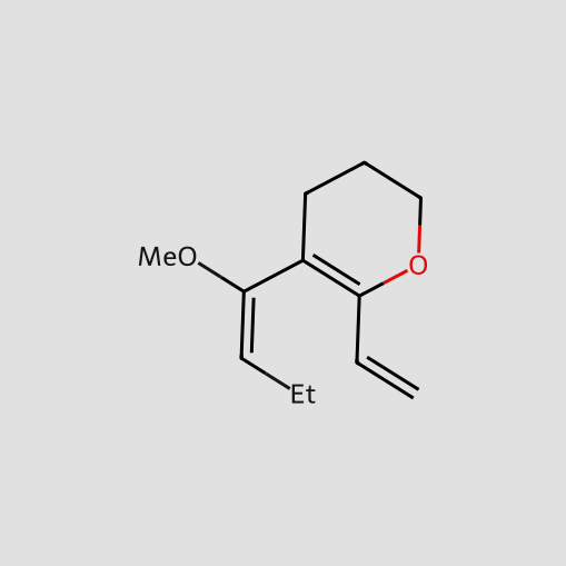 C=CC1=C(/C(=C\CC)OC)CCCO1